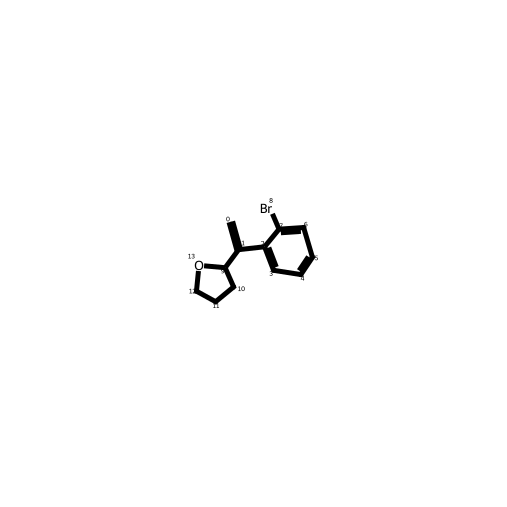 C=C(c1ccccc1Br)C1CCCO1